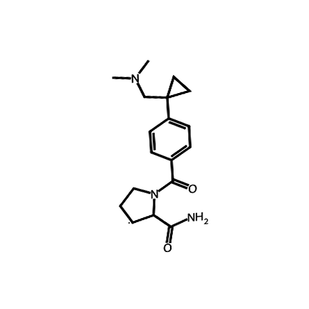 CN(C)CC1(c2ccc(C(=O)N3CC[CH]C3C(N)=O)cc2)CC1